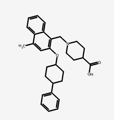 Cc1cc(OC2CCC(c3ccccc3)CC2)c(CN2CCC(C(=O)O)CC2)c2ccccc12